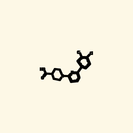 O=C(O)C1CCN(c2cccc(-c3ccc(Cl)c(Cl)c3)n2)CC1